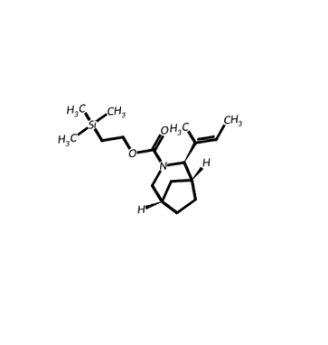 CC=C(C)[C@H]1[C@@H]2CC[C@@H](C2)CN1C(=O)OCC[Si](C)(C)C